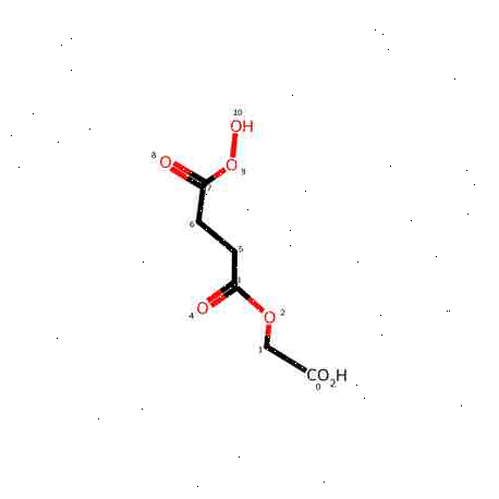 O=C(O)COC(=O)CCC(=O)OO